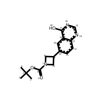 CC(C)(C)OC(=O)N1CC(c2ccc3ncnc(O)c3c2)C1